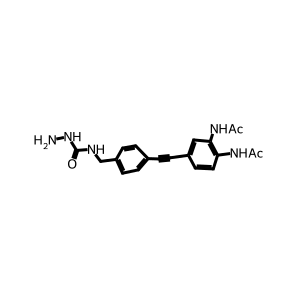 CC(=O)Nc1ccc(C#Cc2ccc(CNC(=O)NN)cc2)cc1NC(C)=O